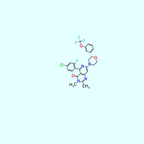 Cc1nc2cc(N3CCO[C@@H](c4cccc(OC(F)(F)F)c4)C3)nc(-c3ccc(Cl)cc3F)c2c(=O)n1C